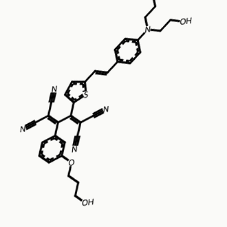 N#CC(C#N)=C(C(=C(C#N)C#N)c1ccc(C=Cc2ccc(N(CCO)CCO)cc2)s1)c1cccc(OCCCO)c1